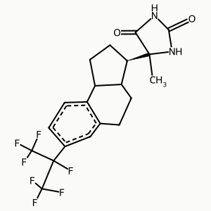 CC1([C@@H]2CCC3c4ccc(C(F)(C(F)(F)F)C(F)(F)F)cc4CCC32)NC(=O)NC1=O